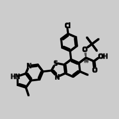 Cc1cc2nc(-c3cnc4[nH]cc(C)c4c3)sc2c(-c2ccc(Cl)cc2)c1[C@H](OC(C)(C)C)C(=O)O